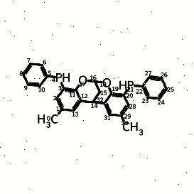 Cc1cc(Pc2ccccc2)c2c(c1)C1CC(O2)Oc2c(Pc3ccccc3)cc(C)cc21